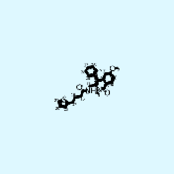 COc1ccc2c(=O)n(C)c(CNC(=O)CCCc3cccs3)c(-c3ccccc3)c2c1